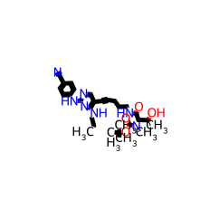 CCCNc1nc(Nc2ccc(C#N)cc2)ncc1C#CCCCNC(=O)[C@H]([C@@H](C)O)N(C)C(=O)OC(C)(C)C